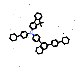 CC1(C)c2ccccc2-c2ccc(N(c3ccc(-c4cc(-c5ccc(C6CCCCC6)cc5)cc5c4CCCC5)cc3)c3ccc(C4CCCCC4)cc3)cc21